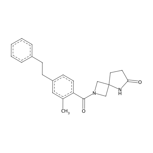 Cc1cc(CCc2ccccc2)ccc1C(=O)N1CC2(CCC(=O)N2)C1